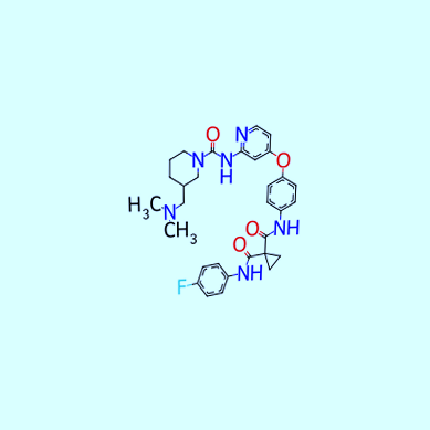 CN(C)CC1CCCN(C(=O)Nc2cc(Oc3ccc(NC(=O)C4(C(=O)Nc5ccc(F)cc5)CC4)cc3)ccn2)C1